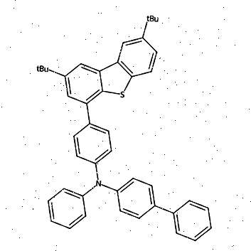 CC(C)(C)c1ccc2sc3c(-c4ccc(N(c5ccccc5)c5ccc(-c6ccccc6)cc5)cc4)cc(C(C)(C)C)cc3c2c1